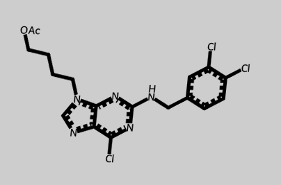 CC(=O)OCCCCn1cnc2c(Cl)nc(NCc3ccc(Cl)c(Cl)c3)nc21